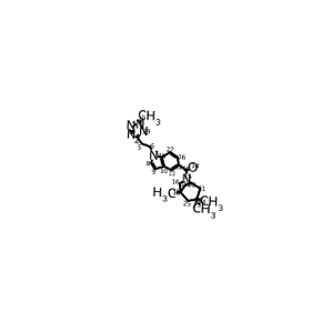 Cn1nnc(CCn2ccc3cc(C(=O)N4CC5(C)CC4CC(C)(C)C5)ccc32)n1